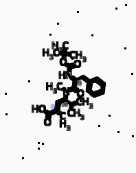 C/C(=C\[C@H](C(C)C)N(C)C(=O)[C@H](Cc1ccccc1)NC(=O)OC(C)(C)C)C(=O)O